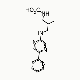 CC(CNC(=O)O)CNc1cnc(-c2ccccn2)cn1